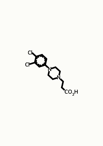 O=C(O)CCN1CCN(c2ccc(Cl)c(Cl)c2)CC1